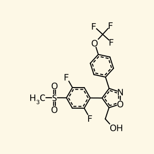 CS(=O)(=O)c1cc(F)c(-c2c(-c3ccc(OC(F)(F)F)cc3)noc2CO)cc1F